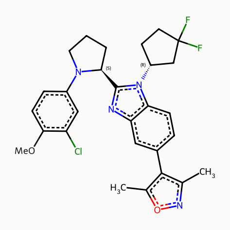 COc1ccc(N2CCC[C@H]2c2nc3cc(-c4c(C)noc4C)ccc3n2[C@@H]2CCC(F)(F)C2)cc1Cl